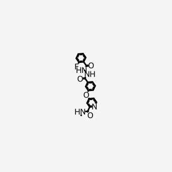 CNC(=O)c1cc(Oc2cccc(C(=O)NNC(=O)c3ccccc3F)c2)ccn1